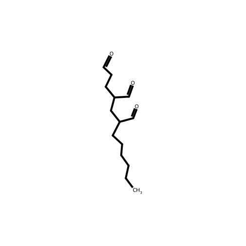 CCCCCCC(C=O)CC(C=O)CCC=O